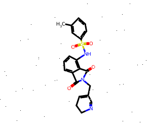 Cc1cccc(S(=O)(=O)Nc2cccc3c2C(=O)N(CC2=CCCN=C2)C3=O)c1